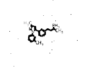 Cc1cccc(-n2nc(C)cc2-c2cccc(CCC(C)P)c2)c1